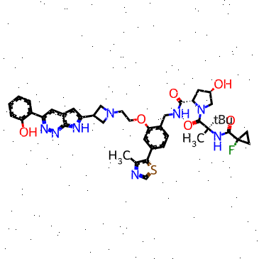 Cc1ncsc1-c1ccc(CNC(=O)[C@@H]2C[C@@H](O)CN2C(=O)[C@](C)(NC(=O)C2(F)CC2)C(C)(C)C)c(OCCN2CC(c3cc4cc(-c5ccccc5O)nnc4[nH]3)C2)c1